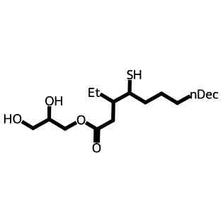 CCCCCCCCCCCCCC(S)C(CC)CC(=O)OCC(O)CO